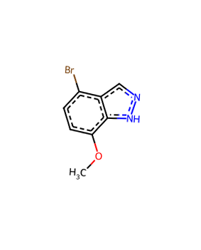 COc1ccc(Br)c2cn[nH]c12